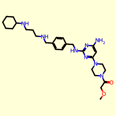 COCC(=O)N1CCN(c2cc(N)nc(NCc3ccc(CNCCCNC4CCCCC4)cc3)n2)CC1